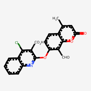 Cc1cc(=O)oc2c(C=O)c(Oc3nc4ccccc4c(Cl)c3C(=O)O)ccc12